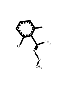 CO/N=C(\C)c1c(Cl)cccc1Cl